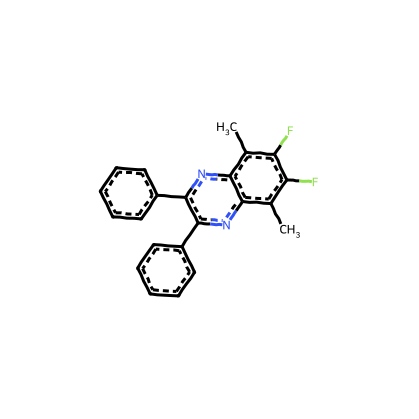 Cc1c(F)c(F)c(C)c2nc(-c3ccccc3)c(-c3ccccc3)nc12